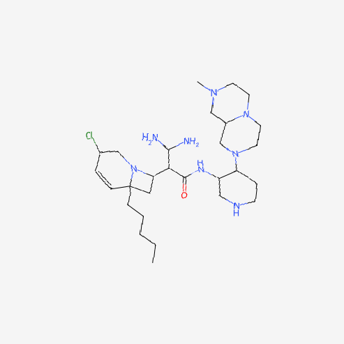 CCCCCC12C=CC(Cl)CN1C(C(C(=O)NC1CNCCC1N1CCN3CCN(C)CC3C1)C(N)N)C2